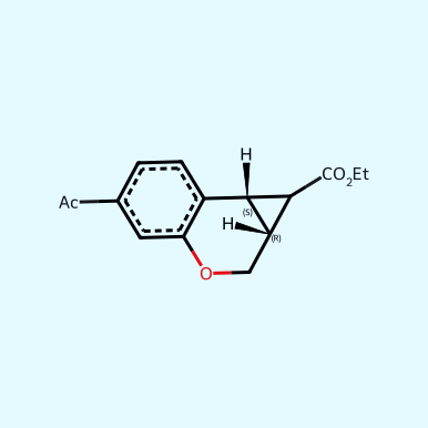 CCOC(=O)C1[C@H]2c3ccc(C(C)=O)cc3OC[C@@H]12